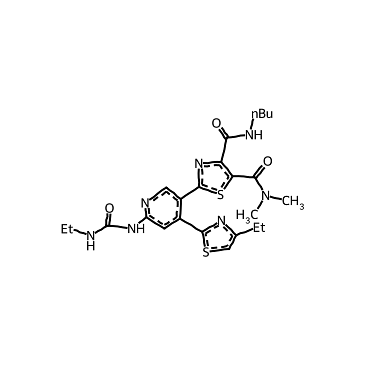 CCCCNC(=O)c1nc(-c2cnc(NC(=O)NCC)cc2-c2nc(CC)cs2)sc1C(=O)N(C)C